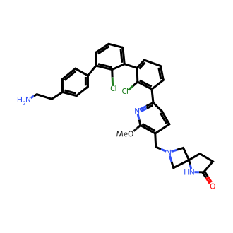 COc1nc(-c2cccc(-c3cccc(-c4ccc(CCN)cc4)c3Cl)c2Cl)ccc1CN1CC2(CCC(=O)N2)C1